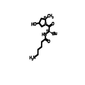 C[C@@H]1CC(O)CN1C(=O)[C@@H](NC(=O)CCCCN)C(C)(C)C